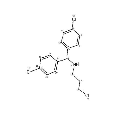 ClCCCNC(c1ccc(Cl)cc1)c1ccc(Cl)cc1